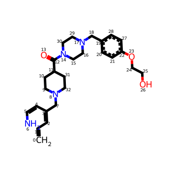 C=C/C=C(\C=C/N)CN1CCC(C(=O)N2CCN(Cc3ccc(OCCO)cc3)CC2)CC1